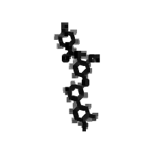 N#Cc1cc(Oc2cncc(-c3ccc(F)c(F)c3)c2)ccc1NC(=O)N1CCNCC1